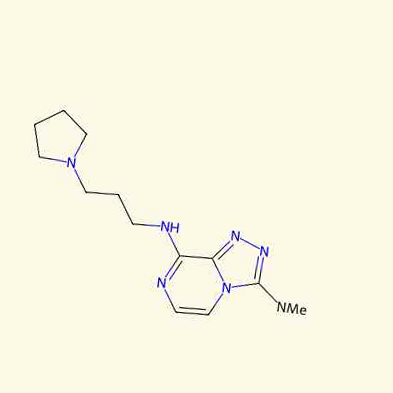 CNc1nnc2c(NCCCN3CCCC3)nccn12